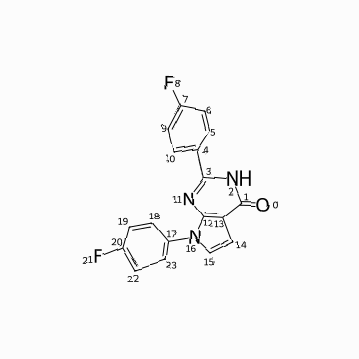 O=c1[nH]c(-c2ccc(F)cc2)nc2c1ccn2-c1ccc(F)cc1